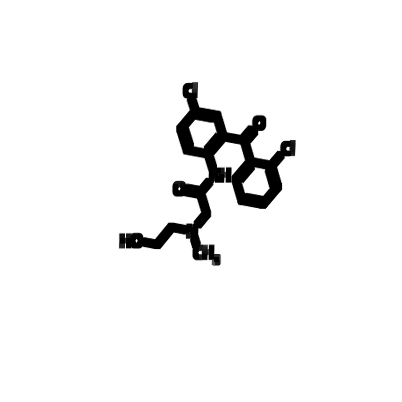 CN(CCO)CC(=O)Nc1ccc(Cl)cc1C(=O)c1ccccc1Cl